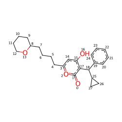 O=c1oc(CCCCC2CCCCO2)cc(O)c1C(c1ccccc1)C1CC1